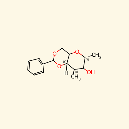 C[C@@H]1C(O)[C@@H](C)OC2COC(c3ccccc3)O[C@H]21